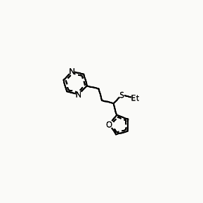 CCSC(CCc1cnccn1)c1ccco1